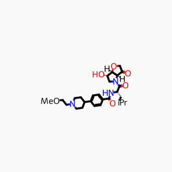 COCCN1CCC(c2ccc(C(=O)N[C@@H](CC(C)C)C(=O)N3C[C@H](O)[C@H]4OCC(=O)[C@H]43)cc2)CC1